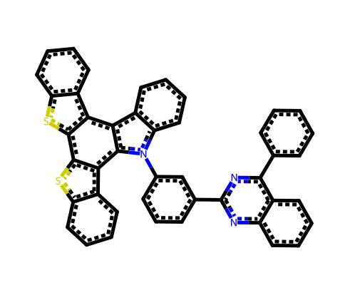 c1ccc(-c2nc(-c3cccc(-n4c5ccccc5c5c6c7ccccc7sc6c6sc7ccccc7c6c54)c3)nc3ccccc23)cc1